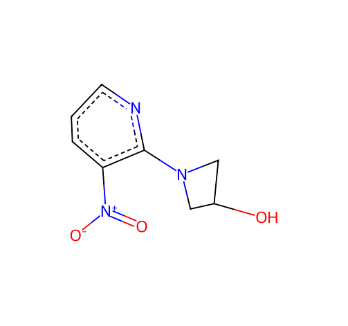 O=[N+]([O-])c1cccnc1N1CC(O)C1